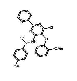 COc1ccccc1Oc1c(Cl)nc(-c2ncccn2)nc1N[S+]([O-])c1ccc(C(C)(C)C)cc1